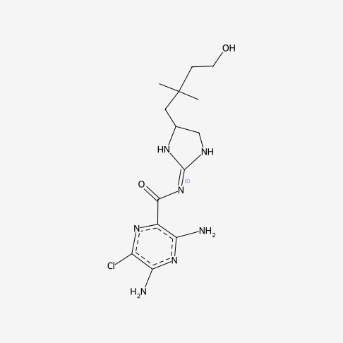 CC(C)(CCO)CC1CN/C(=N/C(=O)c2nc(Cl)c(N)nc2N)N1